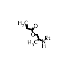 C=CC(=O)OCC(C)NCC